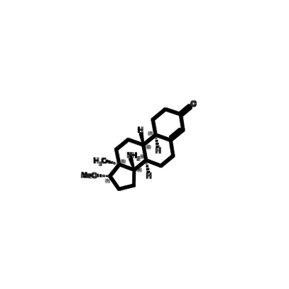 CO[C@H]1CC[C@@]2(N)[C@@H]3CCC4=CC(=O)CC[C@@H]4[C@H]3CC[C@]12C